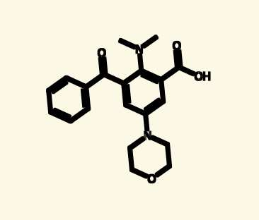 CN(C)c1c(C(=O)O)cc(N2CCOCC2)cc1C(=O)c1ccccc1